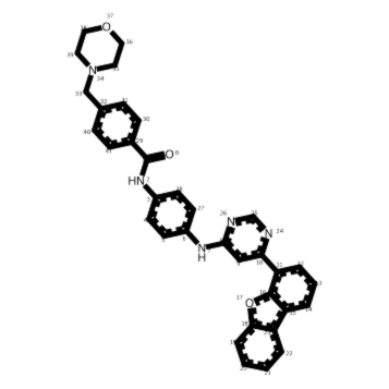 O=C(Nc1ccc(Nc2cc(-c3cccc4c3oc3ccccc34)ncn2)cc1)c1ccc(CN2CCOCC2)cc1